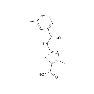 Cc1nc(NC(=O)c2cccc(F)c2)sc1C(=O)O